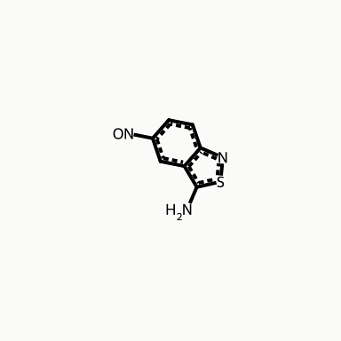 Nc1snc2ccc(N=O)cc12